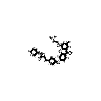 Cc1cc(OCCN(C)C)c2oc3cc(Oc4ccc(CCC(=O)Nc5cccnc5)nc4)ccc3c(=O)c2c1